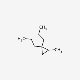 CCCC1(CCC)CC1C